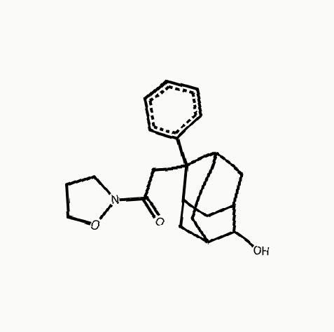 O=C(CC1(c2ccccc2)C2CC3CC1CC(C2)C3O)N1CCCO1